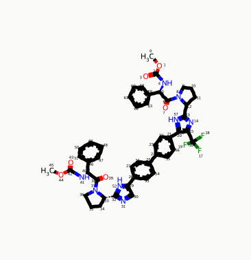 COC(=O)N[C@@H](C(=O)N1CCCC1c1nc(C(F)(F)F)c(-c2ccc(-c3ccc(-c4cnc([C@@H]5CCCN5C(=O)[C@H](NC(=O)OC)c5ccccc5)[nH]4)cc3)cc2)[nH]1)c1ccccc1